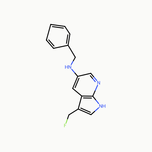 FCc1c[nH]c2ncc(NCc3ccccc3)cc12